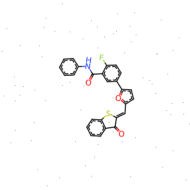 O=C(Nc1ccccc1)c1cc(-c2ccc(/C=C3\Sc4ccccc4C3=O)o2)ccc1F